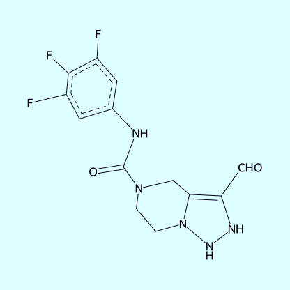 O=CC1=C2CN(C(=O)Nc3cc(F)c(F)c(F)c3)CCN2NN1